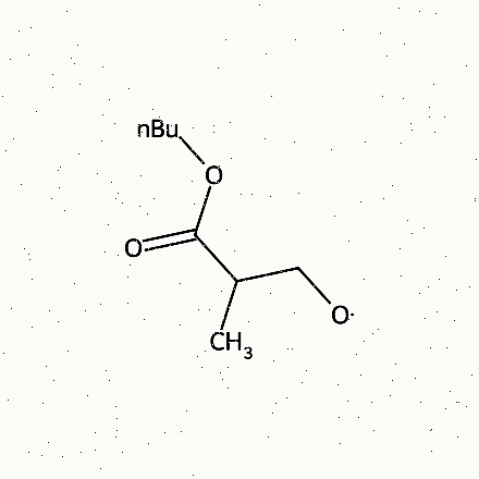 CCCCOC(=O)C(C)C[O]